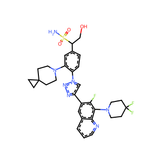 NS(=O)(=O)C(CO)c1ccc(-n2cc(-c3cc4cccnc4c(N4CCC(F)(F)CC4)c3F)nn2)c(N2CCC3(CC2)CC3)c1